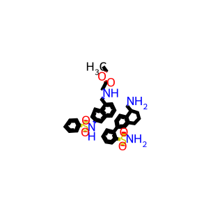 CCOC(=O)CNCc1cccc2cc(NS(=O)(=O)c3ccccc3)ccc12.NCC1CCCc2cc(-c3ccccc3S(N)(=O)=O)ccc21